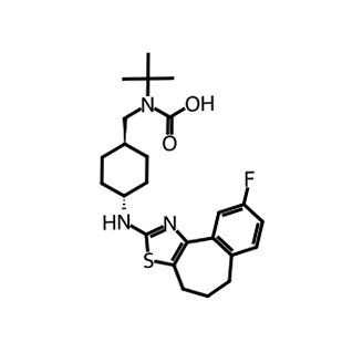 CC(C)(C)N(C[C@H]1CC[C@H](Nc2nc3c(s2)CCCc2ccc(F)cc2-3)CC1)C(=O)O